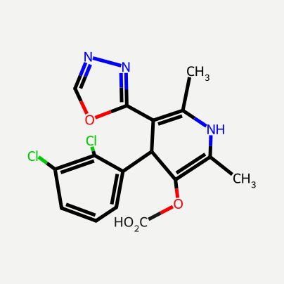 CC1=C(OC(=O)O)C(c2cccc(Cl)c2Cl)C(c2nnco2)=C(C)N1